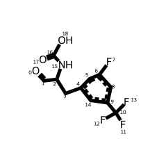 O=CC(Cc1cc(F)cc(C(F)(F)F)c1)NC(=O)O